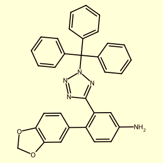 Nc1ccc(-c2ccc3c(c2)OCO3)c(-c2nnn(C(c3ccccc3)(c3ccccc3)c3ccccc3)n2)c1